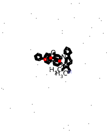 C=Cc1c(/C=C\C)c2ccc3c4ccccc4n(-c4ccc5c(c4)oc4ccccc45)c3c2n1-c1ccc(-c2ccc(-c3ccccc3)cc2)cc1